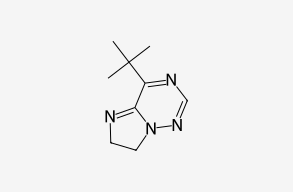 CC(C)(C)C1=NC=NN2CCN=C12